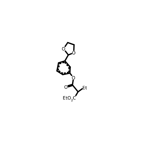 CCOC(=O)C(CC)C(=O)Oc1cccc(C2OCCO2)c1